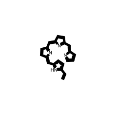 C=Cc1ccc(C=C2C=CC(C=C3C=CC(C=C4C=C=C=N4)=N3)=N2)[nH]1